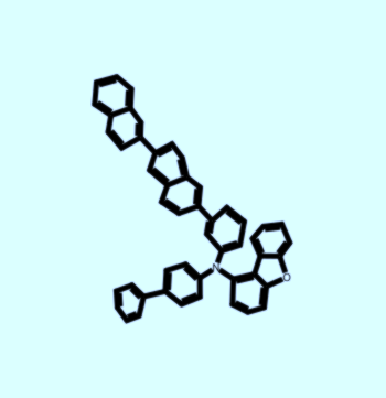 c1ccc(-c2ccc(N(c3cccc(-c4ccc5cc(-c6ccc7ccccc7c6)ccc5c4)c3)c3cccc4oc5ccccc5c34)cc2)cc1